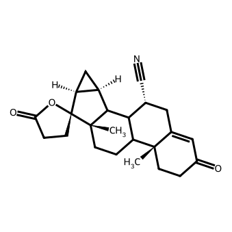 C[C@]12CCC(=O)C=C1C[C@@H](C#N)C1C2CC[C@@]2(C)C1[C@@H]1C[C@@H]1[C@]21CCC(=O)O1